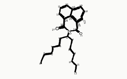 CCCCCCC(CCCCCC)N1C(=O)c2cccc3cccc(c23)C1=O